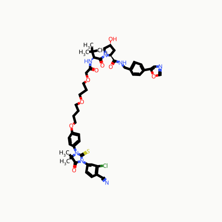 CC(C)(C)[C@H](NC(=O)COCCCOCCCCOc1ccc(N2C(=S)N(c3ccc(C#N)c(Cl)c3)C(=O)C2(C)C)cc1)C(=O)N1C[C@H](O)C[C@H]1C(=O)NCc1ccc(-c2cnco2)cc1